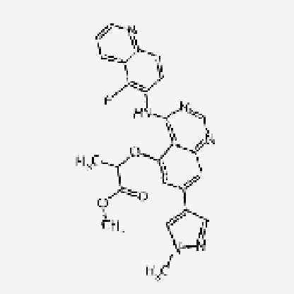 COC(=O)C(C)Oc1cc(-c2cnn(C)c2)cc2ncnc(Nc3ccc4ncccc4c3F)c12